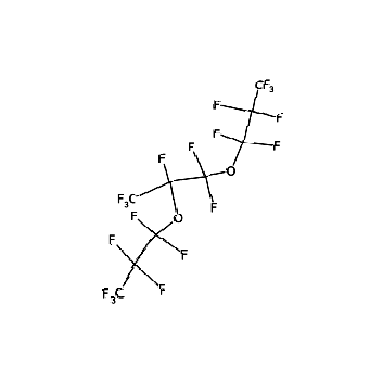 FC(F)(F)C(F)(F)C(F)(F)OC(F)(F)C(F)(OC(F)(F)C(F)(F)C(F)(F)F)C(F)(F)F